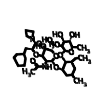 CCC1CC(C)C[C@@H](O[C@@H]2O[C@@H](CO)[C@H](O)C(O[C@@H](CC3CCCCC3)C(=O)N3CCC3)C2NC(C)=O)[C@H]1O[C@@H]1OC(C)[C@@H](O)[C@H](O)C1O